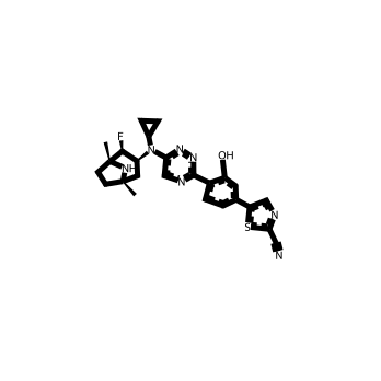 C[C@@]12CC[C@@](C)(N1)[C@@H](F)[C@@H](N(c1cnc(-c3ccc(-c4cnc(C#N)s4)cc3O)nn1)C1CC1)C2